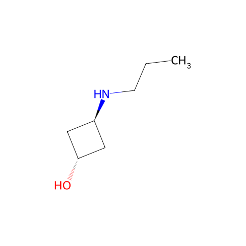 CCCN[C@H]1C[C@H](O)C1